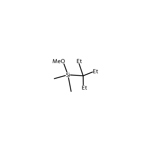 CCC(CC)(CC)[Si](C)(C)OC